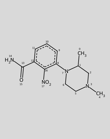 CC1CN(C)CCN1c1cccc(C(N)=O)c1[N+](=O)[O-]